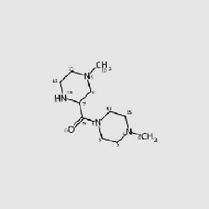 CN1CCN(C(=O)C2CN(C)CCN2)CC1